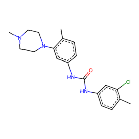 Cc1ccc(NC(=O)Nc2ccc(C)c(N3CCN(C)CC3)c2)cc1Cl